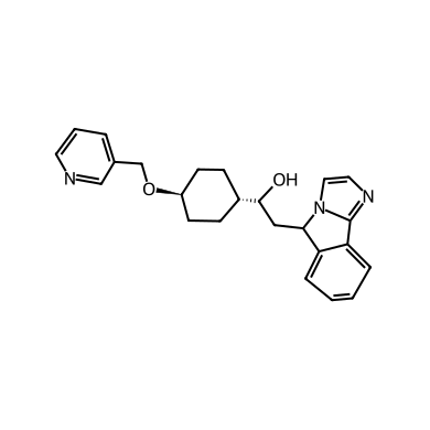 OC(CC1c2ccccc2-c2nccn21)[C@H]1CC[C@H](OCc2cccnc2)CC1